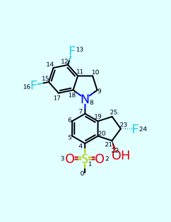 CS(=O)(=O)c1ccc(N2CCc3c(F)cc(F)cc32)c2c1[C@H](O)[C@@H](F)C2